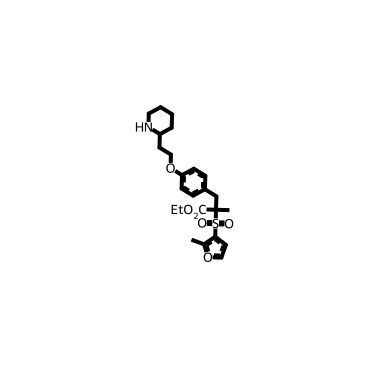 CCOC(=O)C(C)(Cc1ccc(OCCC2CCCCN2)cc1)S(=O)(=O)c1ccoc1C